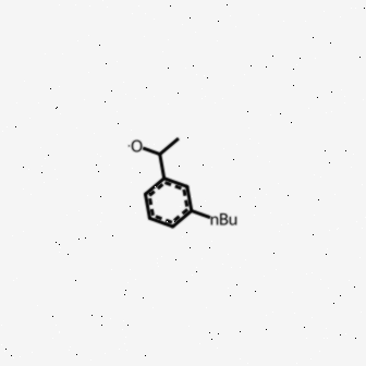 CCCCc1cccc(C(C)[O])c1